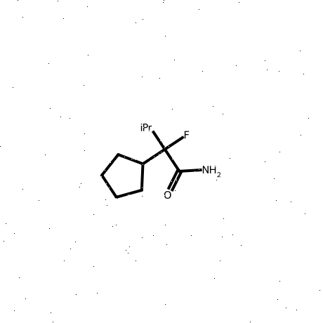 CC(C)C(F)(C(N)=O)C1CCCC1